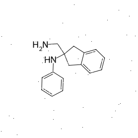 NCC1(Nc2ccccc2)Cc2ccccc2C1